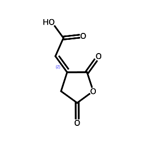 O=C(O)/C=C1/CC(=O)OC1=O